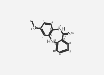 COc1ccc2c(c1)Nc1ccccc1C(=S)N2